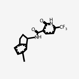 Cc1ccc2c(c1)C(NC(=O)c1ccc(C(F)(F)F)[nH]c1=O)CC2